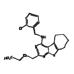 O=C(O)COCc1nc(NCc2ccccc2Cl)c2c3c(sc2n1)CCCC3